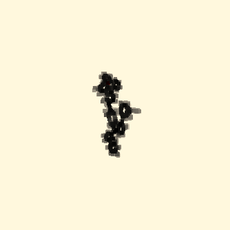 c1ccc(-c2ccccc2-n2c3ccccc3c3cc(-c4ccc5c(c4)c4c(-c6ccccc6)cccc4n5-c4cccc5c4sc4ccccc45)ccc32)cc1